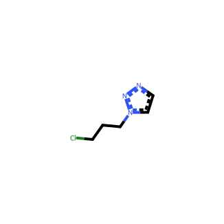 ClCCCn1ccnn1